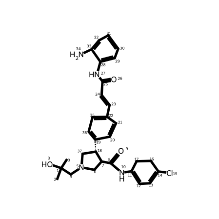 CC(C)(O)CN1CC(C(=O)NC2=CC=C(Cl)CC2)[C@@H](c2ccc(/C=C/C(=O)Nc3ccccc3N)cc2)C1